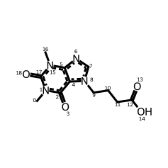 Cn1c(=O)c2c(ncn2CCCC(=O)O)n(C)c1=O